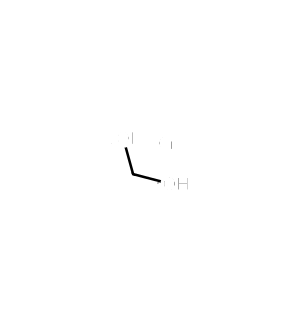 OCO.[Cr]